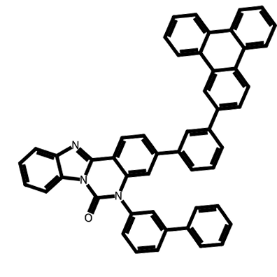 O=c1n(-c2cccc(-c3ccccc3)c2)c2cc(-c3cccc(-c4ccc5c6ccccc6c6ccccc6c5c4)c3)ccc2c2nc3ccccc3n12